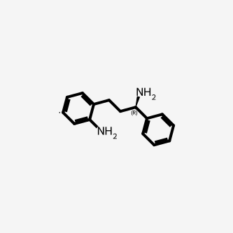 Nc1c[c]ccc1CC[C@@H](N)c1ccccc1